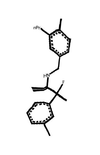 C=C(NCc1ccc(C)c(CCC)c1)C(C)(F)c1cccc(C)c1